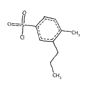 CCCc1cc(S(=O)(=O)Cl)ccc1C